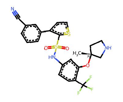 C[C@@]1(Oc2cc(NS(=O)(=O)c3sccc3-c3cccc(C#N)c3)ccc2C(F)(F)F)CCNC1